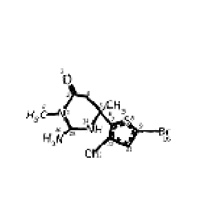 CN1C(=O)C[C@@](C)(c2sc(Br)cc2Cl)NC1N